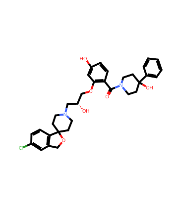 O=C(c1ccc(O)cc1OC[C@H](O)CN1CCC2(CC1)OCc1cc(Cl)ccc12)N1CCC(O)(c2ccccc2)CC1